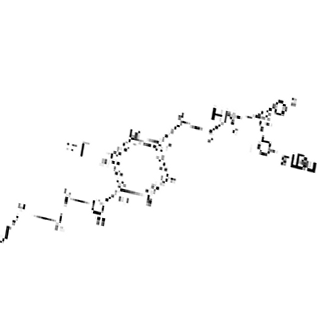 CC(C)(C)OC(=O)NCCc1ccc(OCCCI)c(F)c1